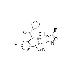 CC(C)c1nc(-c2ncn3c2[C@@H](C)N(C(=O)N2CCCC2)c2cc(F)ccc2-3)no1